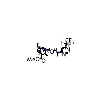 C=C(/C(=C\C=C/C)CO/N=C(\C)c1cc(C(F)(F)C(F)(F)F)ncn1)/C(=C\OC)C(=O)OC